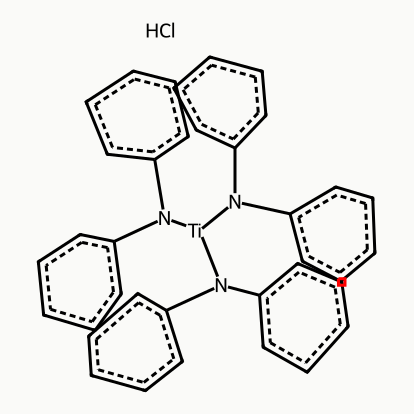 Cl.c1ccc([N](c2ccccc2)[Ti]([N](c2ccccc2)c2ccccc2)[N](c2ccccc2)c2ccccc2)cc1